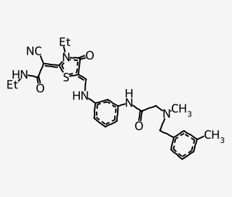 CCNC(=O)C(C#N)=c1sc(=CNc2cccc(NC(=O)CN(C)Cc3cccc(C)c3)c2)c(=O)n1CC